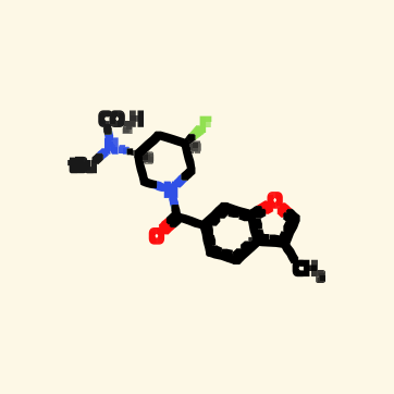 Cc1coc2cc(C(=O)N3C[C@H](F)C[C@@H](N(C(=O)O)C(C)(C)C)C3)ccc12